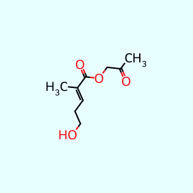 CC(=O)COC(=O)C(C)=CCCO